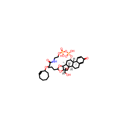 CCCC1O[C@@H]2C[C@H]3[C@@H]4CCC5=CC(=O)C=C[C@]5(C)[C@H]4[C@@H](OP(=O)(O)OP(=O)(O)OCCNC(=O)COC4C#CCCCCC4)C[C@]3(C)[C@]2(C(=O)CO)O1